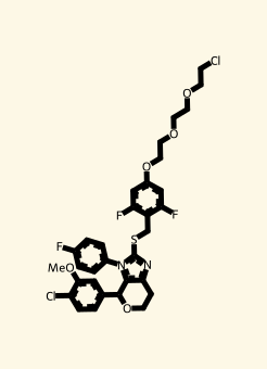 COc1cc(C2OCCc3nc(SCc4c(F)cc(OCCOCCOCCCl)cc4F)n(-c4ccc(F)cc4)c32)ccc1Cl